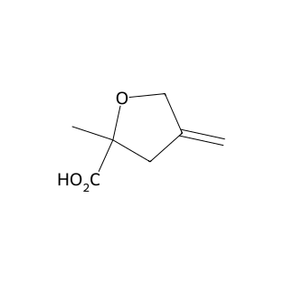 C=C1COC(C)(C(=O)O)C1